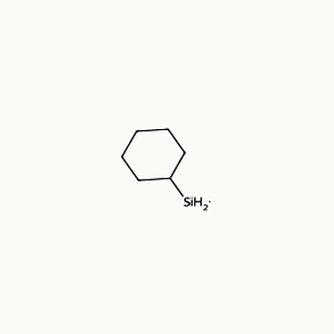 [SiH2]C1CCCCC1